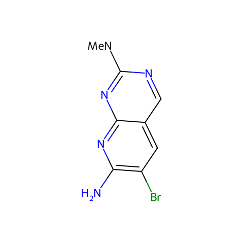 CNc1ncc2cc(Br)c(N)nc2n1